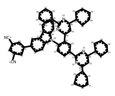 N#Cc1cc(C#N)cc(-c2ccc3c(c2)c2ccccc2n3-c2ccc(-c3nc(-c4ccccc4)cc(-c4ccccc4)n3)cc2-c2cc(-c3ccccc3)nc(-c3ccccc3)n2)c1